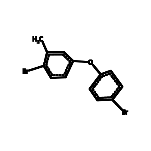 Cc1cc(Oc2ccc(Br)cc2)ccc1Br